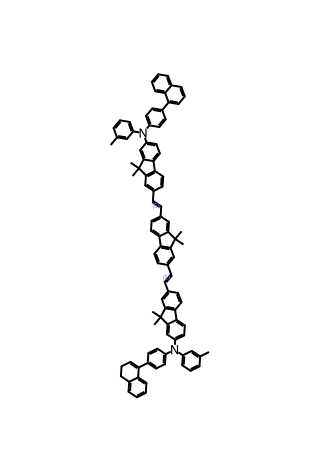 Cc1cccc(N(c2ccc(C3=CCCc4ccccc43)cc2)c2ccc3c(c2)C(C)(C)c2cc(/C=C/c4ccc5c(c4)C(C)(C)c4cc(/C=C/c6ccc7c(c6)C(C)(C)c6cc(N(c8ccc(-c9cccc%10ccccc9%10)cc8)c8cccc(C)c8)ccc6-7)ccc4-5)ccc2-3)c1